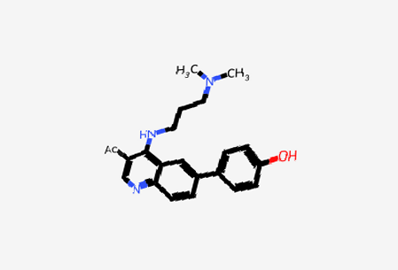 CC(=O)c1cnc2ccc(-c3ccc(O)cc3)cc2c1NCCCN(C)C